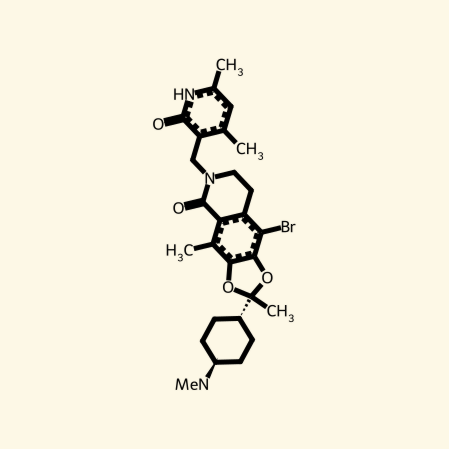 CN[C@H]1CC[C@H](C2(C)Oc3c(C)c4c(c(Br)c3O2)CCN(Cc2c(C)cc(C)[nH]c2=O)C4=O)CC1